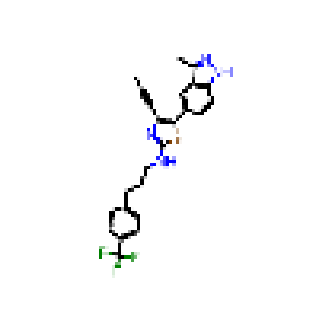 CC#Cc1nc(NCCCc2ccc(C(F)(F)F)cc2)sc1-c1ccc2[nH]nc(C)c2c1